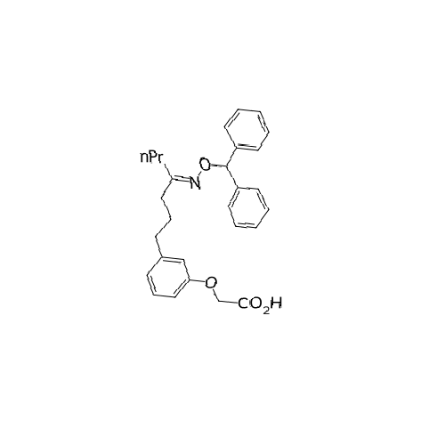 CCCC(CCCc1cccc(OCC(=O)O)c1)=NOC(c1ccccc1)c1ccccc1